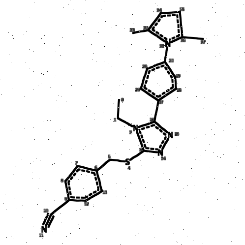 CCn1c(SCc2ccc(C#N)cc2)nnc1-c1ccc(-n2c(C)ccc2C)cc1